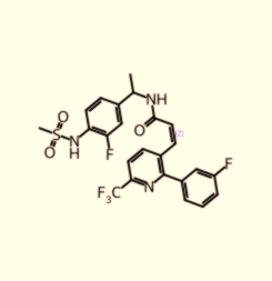 CC(NC(=O)/C=C\c1ccc(C(F)(F)F)nc1-c1cccc(F)c1)c1ccc(NS(C)(=O)=O)c(F)c1